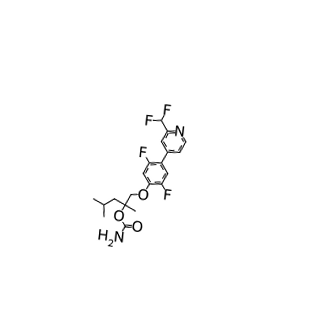 CC(C)CC(C)(COc1cc(F)c(-c2ccnc(C(F)F)c2)cc1F)OC(N)=O